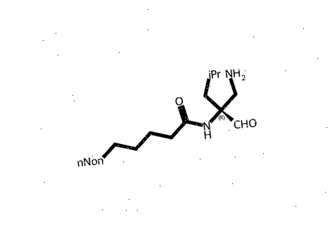 CCCCCCCCCCCCCC(=O)N[C@@](C=O)(CN)CC(C)C